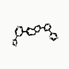 c1ncc(-c2cncc(-c3ccc4cc(-c5cncc(-c6cncs6)c5)ccc4c3)c2)s1